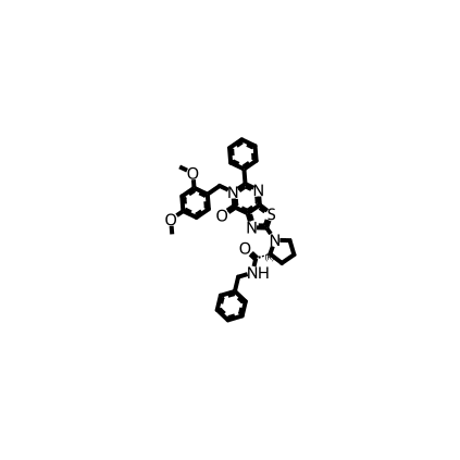 COc1ccc(Cn2c(-c3ccccc3)nc3sc(N4CCC[C@@H]4C(=O)NCc4ccccc4)nc3c2=O)c(OC)c1